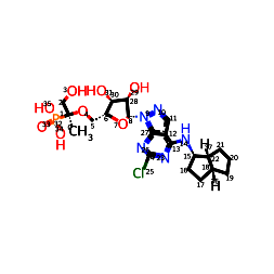 C[C@](CO)(OC[C@H]1O[C@@H](n2ncc3c(N[C@@H]4CC[C@H]5CCC[C@H]54)nc(Cl)nc32)[C@H](O)[C@@H]1O)P(=O)(O)O